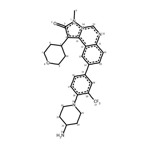 Cn1c(=O)c(C2CCOCC2)c2c3cc(-c4ccc(N5CCC(N)CC5)c(C(F)(F)F)c4)ccc3ncn21